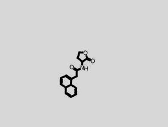 O=C(CC1=CC=CC2C=CC=CC12)NC1CCOC1=O